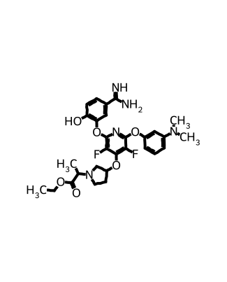 CCOC(=O)C(C)N1CCC(Oc2c(F)c(Oc3cccc(N(C)C)c3)nc(Oc3cc(C(=N)N)ccc3O)c2F)C1